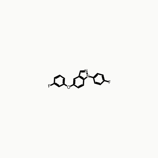 Fc1ccc(-n2ncc3cc(Oc4cccc(F)c4)ccc32)cc1